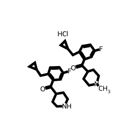 CN1CCC(C(=O)c2cc(F)ccc2CC2CC2)CC1.Cl.O=C(c1cc(F)ccc1CC1CC1)C1CCNCC1